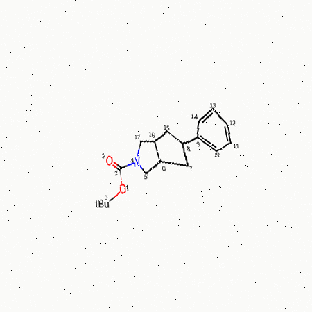 CC(C)(C)OC(=O)N1CC2CC(c3ccccc3)CC2C1